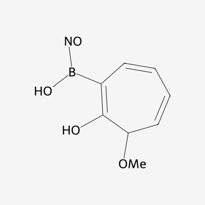 COC1C=CC=CC(B(O)N=O)=C1O